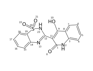 O=c1[nH]c2ccccc2c(O)c1C1=Nc2ccccc2S(=O)(=O)N1